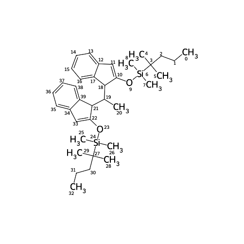 CCCC(C)(C)[Si](C)(C)OC1=Cc2ccccc2C1C(C)C1C(O[Si](C)(C)C(C)(C)CCC)=Cc2ccccc21